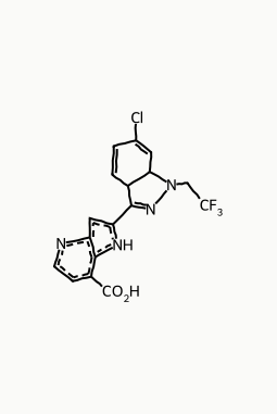 O=C(O)c1ccnc2cc(C3=NN(CC(F)(F)F)C4C=C(Cl)C=CC34)[nH]c12